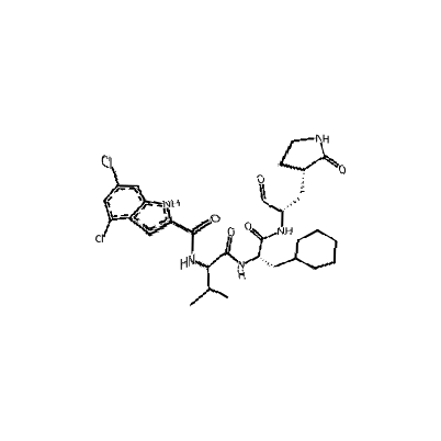 CC(C)C(NC(=O)c1cc2c(Cl)cc(Cl)cc2[nH]1)C(=O)N[C@@H](CC1CCCCC1)C(=O)N[C@H](C=O)C[C@@H]1CCNC1=O